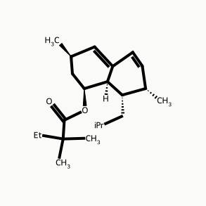 CCC(C)(C)C(=O)O[C@H]1C[C@@H](C)C=C2C=C[C@H](C)[C@H](CC(C)C)[C@H]21